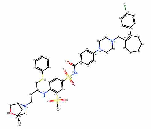 O=C(NS(=O)(=O)c1ccc(NC(CCN2C[C@H]3CC2CO3)CSc2ccccc2)c(S(=O)(=O)C(F)(F)F)c1)c1ccc(N2CCN(CC3=C(c4ccc(Cl)cc4)CCCCC3)CC2)cc1